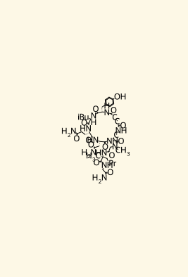 CC[C@H](C)[C@@H]1NC(=O)[C@H](Cc2ccc(O)cc2)NC(=O)CCC(=O)NC[C@@H](C(=O)N(C)CC(=O)N[C@@](C)(CC(C)C)C(=O)NCC(N)=O)NC(=O)[C@H](CC(N)=O)NC(=O)[C@H](CCC(N)=O)NC1=O